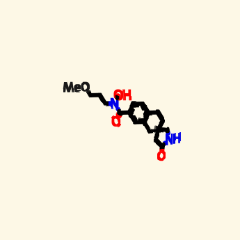 COCCCN(O)C(=O)c1ccc2c(c1)C[C@@]1(CC2)CNC(=O)C1